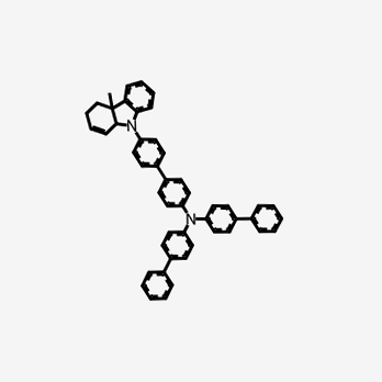 CC12CCC=CC1N(c1ccc(-c3ccc(N(c4ccc(-c5ccccc5)cc4)c4ccc(-c5ccccc5)cc4)cc3)cc1)c1ccccc12